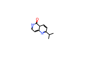 CC(C)C1=NC2=CC=NC(=O)C2C=C1